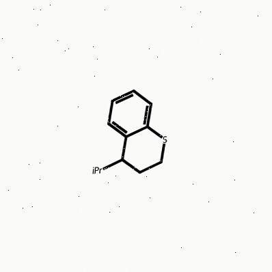 CC(C)C1CCSc2ccccc21